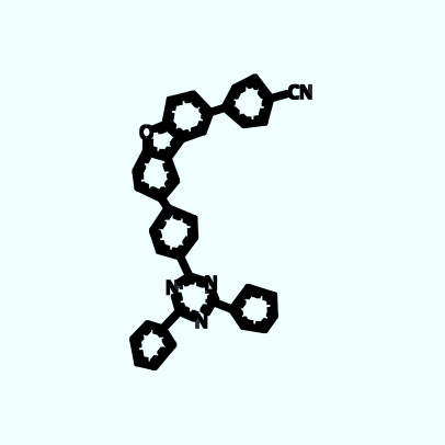 N#Cc1ccc(-c2ccc3oc4ccc(-c5ccc(-c6nc(-c7ccccc7)nc(-c7ccccc7)n6)cc5)cc4c3c2)cc1